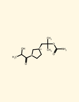 CC(O)C(=O)N1CC[C@H](CC(C)(C)OC(N)=O)C1